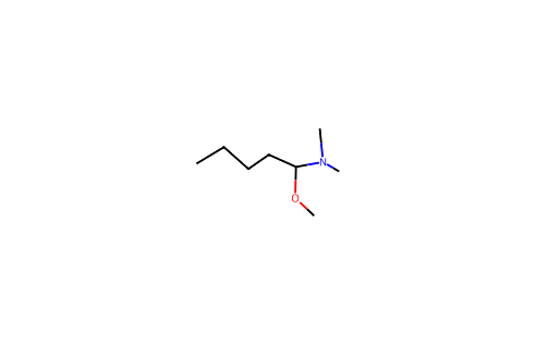 CCCCC(OC)N(C)C